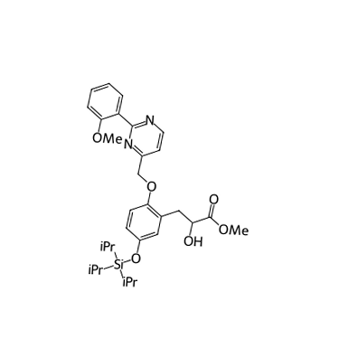 COC(=O)C(O)Cc1cc(O[Si](C(C)C)(C(C)C)C(C)C)ccc1OCc1ccnc(-c2ccccc2OC)n1